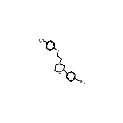 Nc1ccc(OCCN2CCOC(c3ccc(N)cc3)C2)cc1